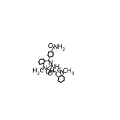 CN(C)c1ccccc1CCC(=O)NC1N=C(c2ccc(C(N)=O)cc2)c2ccccc2N(C)C1=O